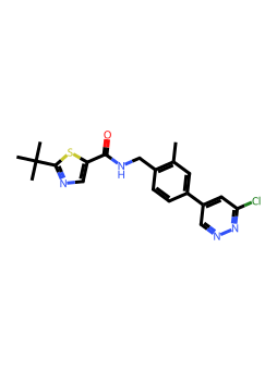 Cc1cc(-c2cnnc(Cl)c2)ccc1CNC(=O)c1cnc(C(C)(C)C)s1